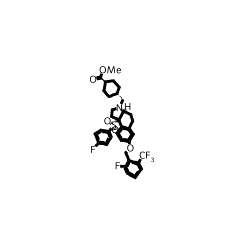 COC(=O)[C@H]1CC[C@H](CN2CC[C@@]3(S(=O)(=O)c4ccc(F)cc4)c4ccc(OCc5c(F)cccc5C(F)(F)F)cc4CC[C@@H]23)CC1